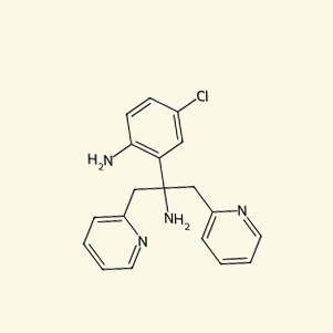 Nc1ccc(Cl)cc1C(N)(Cc1ccccn1)Cc1ccccn1